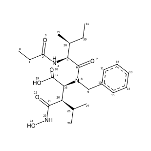 CCC(=O)N[C@H](C(=O)N(Cc1ccccc1)[C@H](C(=O)O)[C@H](C(=O)NO)C(C)C)[C@@H](C)CC